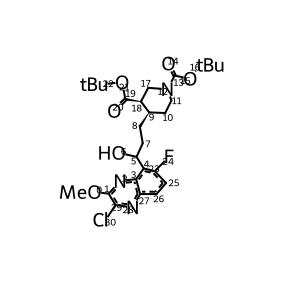 COc1nc2c(C(O)CC[C@@H]3CCN(C(=O)OC(C)(C)C)C[C@@H]3C(=O)OC(C)(C)C)c(F)ccc2nc1Cl